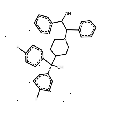 OC(c1ccccc1)C(c1ccccc1)N1CCC(C(O)(c2ccc(F)cc2)c2ccc(F)cc2)CC1